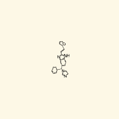 C(=Cc1ccco1)c1nc2cc(C(c3ccccc3)n3ccnc3)ccc2[nH]1